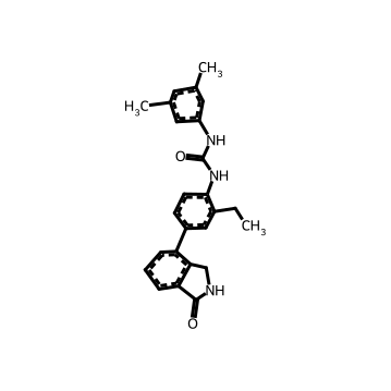 CCc1cc(-c2cccc3c2CNC3=O)ccc1NC(=O)Nc1cc(C)cc(C)c1